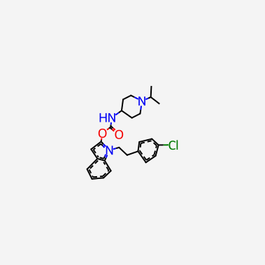 CC(C)N1CCC(NC(=O)Oc2cc3ccccc3n2CCc2ccc(Cl)cc2)CC1